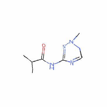 CC(C)C(=O)Nc1ncn(C)n1